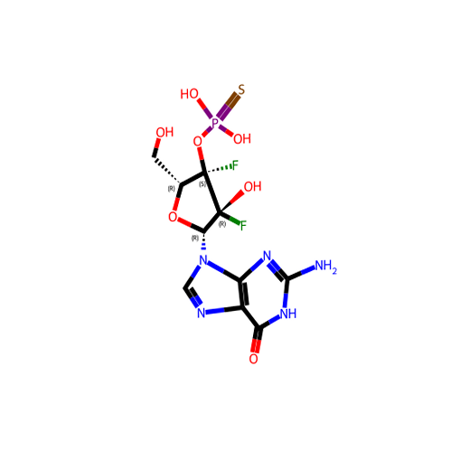 Nc1nc2c(ncn2[C@@H]2O[C@H](CO)[C@@](F)(OP(O)(O)=S)[C@]2(O)F)c(=O)[nH]1